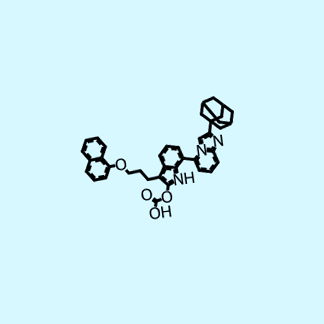 O=C(O)Oc1[nH]c2c(-c3cccc4nc(C56CC7CC(CC(C7)C5)C6)cn34)cccc2c1CCCOc1cccc2ccccc12